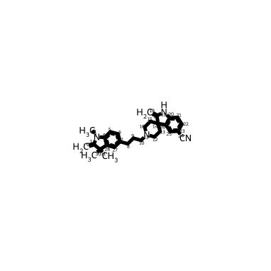 C=C1N(C)c2ccc(CCCN3CCC4(CC3)C(=C)Nc3ccc(C#N)cc34)cc2C1(C)C